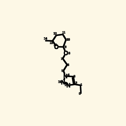 CCc1cn(CCCOC2CCCC(C)O2)nn1